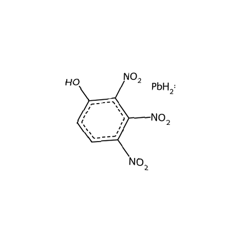 O=[N+]([O-])c1ccc(O)c([N+](=O)[O-])c1[N+](=O)[O-].[PbH2]